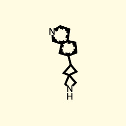 c1cc2ccc(C3CC4(CNC4)C3)cc2cn1